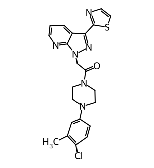 Cc1cc(N2CCN(C(=O)Cn3nc(-c4nccs4)c4cccnc43)CC2)ccc1Cl